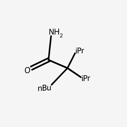 CCCCC(C(N)=O)(C(C)C)C(C)C